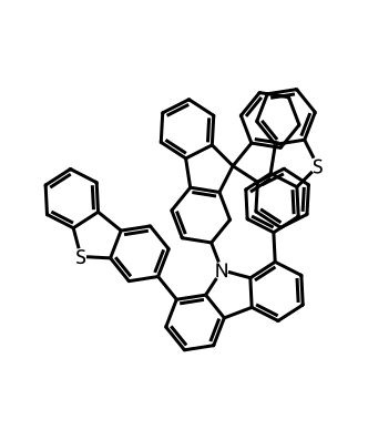 C1=CC(C2(c3ccccc3)C3=C(C=CC(n4c5c(-c6ccc7c(c6)sc6ccccc67)cccc5c5cccc(-c6ccc7c(c6)sc6ccccc67)c54)C3)c3ccccc32)=CCC1